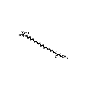 CC=CC(=O)OCCCCCCCCCCCCCCCCCCOP(O)(O)=S